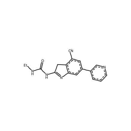 CCNC(=O)NC1=Nc2cc(-c3cccnc3)cc(C#N)c2C1